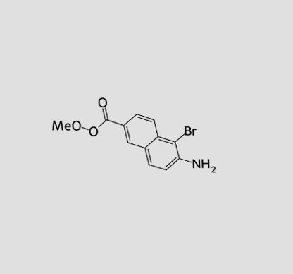 COOC(=O)c1ccc2c(Br)c(N)ccc2c1